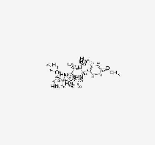 CCO[C@H]1CNC[C@]1(Nc1c(C)nc(-c2ccc(OC)cc2C)n(C)c1=O)c1nccs1